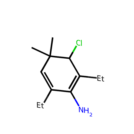 CCC1=CC(C)(C)C(Cl)C(CC)=C1N